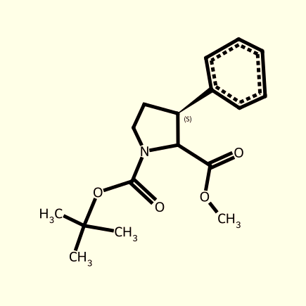 COC(=O)C1[C@H](c2ccccc2)CCN1C(=O)OC(C)(C)C